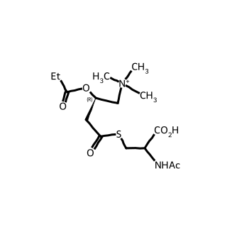 CCC(=O)O[C@H](CC(=O)SCC(NC(C)=O)C(=O)O)C[N+](C)(C)C